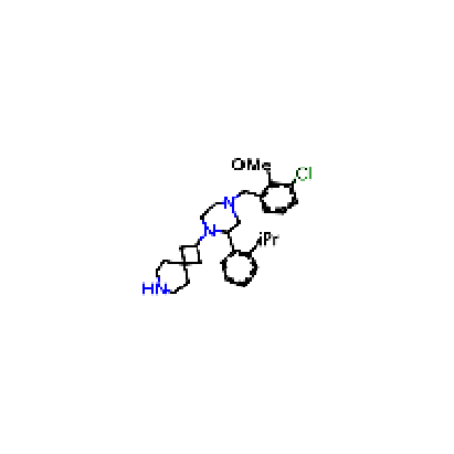 COc1c(Cl)cccc1CN1CCN(C2CC3(CCNCC3)C2)C(c2ccccc2C(C)C)C1